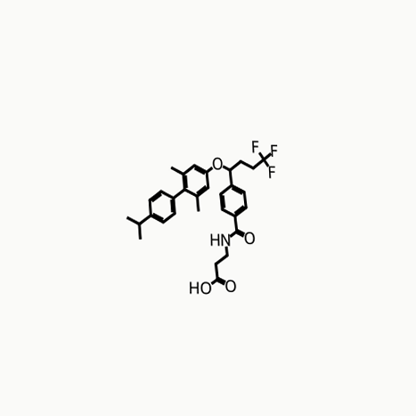 Cc1cc(OC(CCC(F)(F)F)c2ccc(C(=O)NCCC(=O)O)cc2)cc(C)c1-c1ccc(C(C)C)cc1